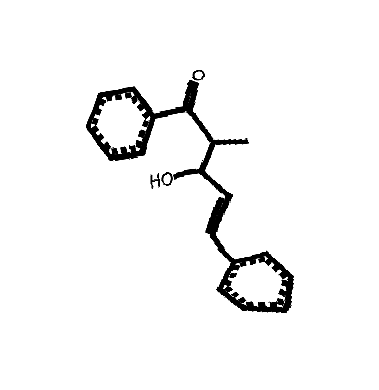 CC(C(=O)c1ccccc1)C(O)/C=C/c1ccccc1